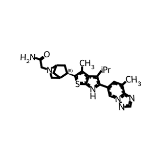 Cc1c([C@@H]2CC3CC2CN3CC(N)=O)sc2[nH]c(-c3cc(C)c4ncnn4c3)c(C(C)C)c12